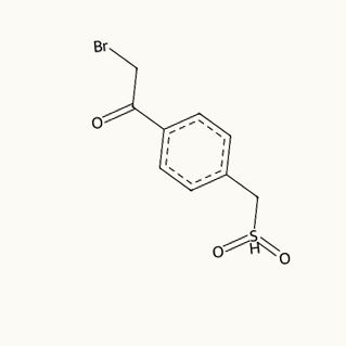 O=C(CBr)c1ccc(C[SH](=O)=O)cc1